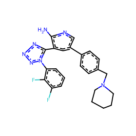 Nc1ncc(-c2ccc(CN3CCCCC3)cc2)cc1-c1nnnn1-c1cccc(F)c1F